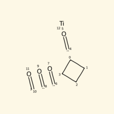 C1CCC1.[C]=O.[C]=O.[C]=O.[C]=O.[Ti]